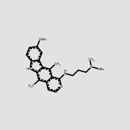 CCCCN(C)CCCNc1nccc2c(C)c3[nH]c4ccc(OC)cc4c3c(C)c12